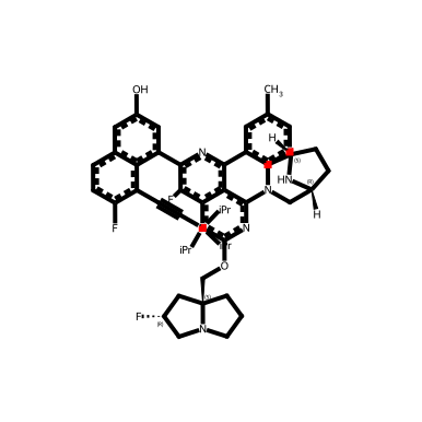 Cc1cncc(-c2nc(-c3cc(O)cc4ccc(F)c(C#C[Si](C(C)C)(C(C)C)C(C)C)c34)c(F)c3nc(OC[C@@]45CCCN4C[C@H](F)C5)nc(N4C[C@H]5CC[C@@H](C4)N5)c23)c1